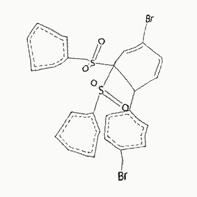 O=S(=O)(c1ccccc1)C1(S(=O)(=O)c2ccccc2)C=C(Br)C=CC1c1ccc(Br)cc1